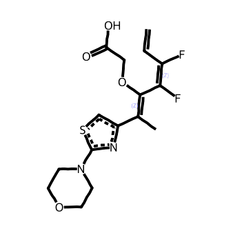 C=C/C(F)=C(F)\C(OCC(=O)O)=C(/C)c1csc(N2CCOCC2)n1